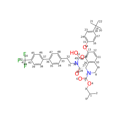 CC(C)COC(=O)N1CCc2ccc(Oc3ccc(C(C)(C)C)cc3)cc2[C@H]1C(=O)N(CCc1ccc(-c2ccc(C(F)(F)F)cc2)cc1)C(=O)O